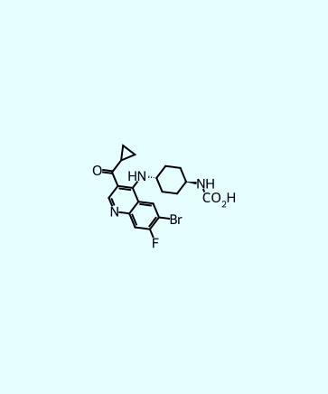 O=C(O)N[C@H]1CC[C@H](Nc2c(C(=O)C3CC3)cnc3cc(F)c(Br)cc23)CC1